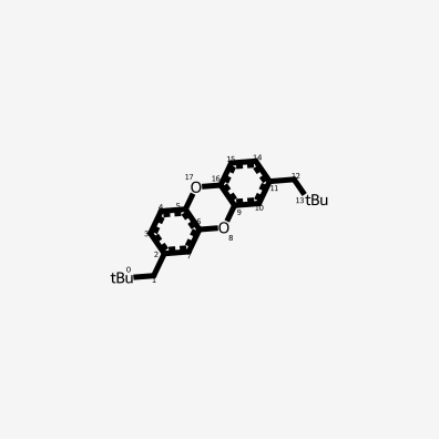 CC(C)(C)Cc1ccc2c(c1)Oc1cc(CC(C)(C)C)ccc1O2